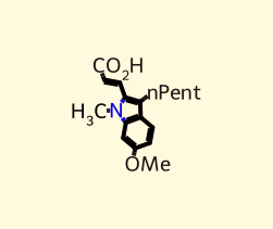 CCCCCc1c(/C=C/C(=O)O)n(C)c2cc(OC)ccc12